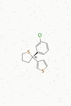 Clc1cccc([C@@]2(c3ccsc3)CCCS2)c1